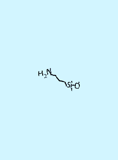 CO[Si](C)(C)CCCCCN